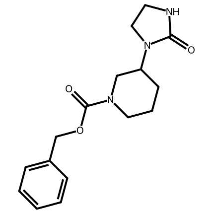 O=C(OCc1ccccc1)N1CCCC(N2CCNC2=O)C1